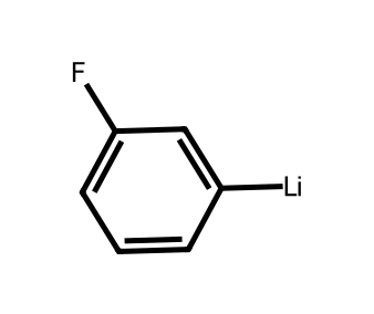 [Li][c]1cccc(F)c1